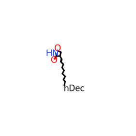 CCCCCCCCCCCCCCCCCCC=CC1CC(=O)NC1=O